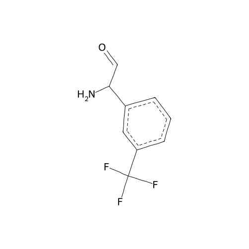 NC(C=O)c1cccc(C(F)(F)F)c1